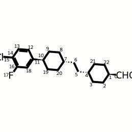 O=C[C@H]1CC[C@H](CC[C@H]2CC[C@H](c3ccc(Cl)c(F)c3)CC2)CC1